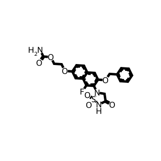 NC(=O)OCCOc1ccc2cc(OCc3ccccc3)c(N3CC(=O)NS3(=O)=O)c(F)c2c1